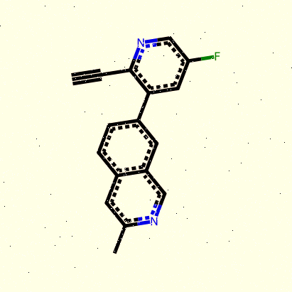 C#Cc1ncc(F)cc1-c1ccc2cc(C)ncc2c1